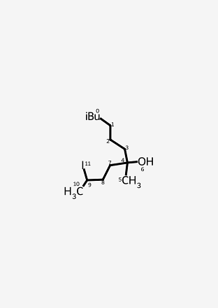 CCC(C)CCCC(C)(O)CCC(C)I